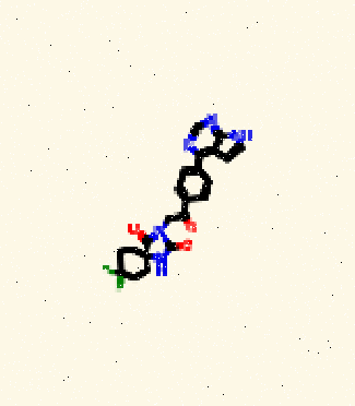 O=C(CN1C(=O)NC2(CCC(F)(F)CC2)C1=O)c1ccc(-c2ncnc3[nH]ccc23)cc1